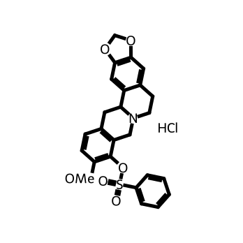 COc1ccc2c(c1OS(=O)(=O)c1ccccc1)CN1CCc3cc4c(cc3C1C2)OCO4.Cl